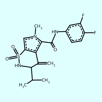 C=C1c2c(cn(C)c2C(=O)Nc2ccc(F)c(F)c2)S(=O)(=O)NC1C(C)C